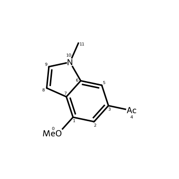 COc1cc(C(C)=O)cc2c1ccn2C